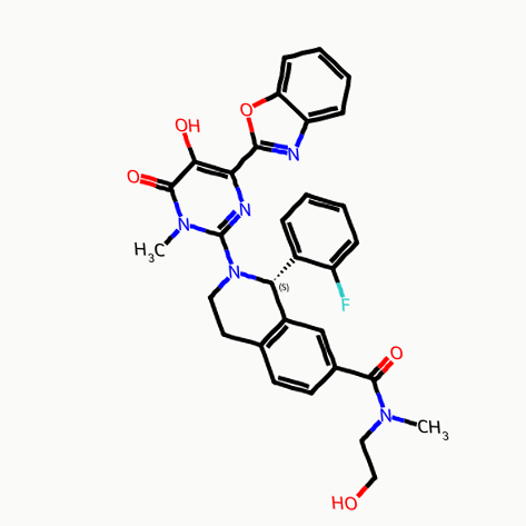 CN(CCO)C(=O)c1ccc2c(c1)[C@@H](c1ccccc1F)N(c1nc(-c3nc4ccccc4o3)c(O)c(=O)n1C)CC2